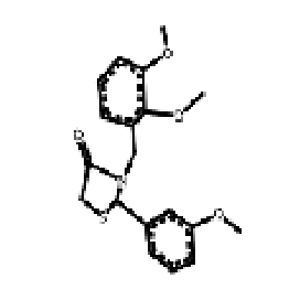 COc1cccc(C2SCC(=O)N2Cc2cccc(OC)c2OC)c1